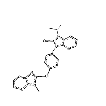 CC(C)n1c(=O)n(-c2ccc(Oc3nc4cccnc4n3C)cc2)c2ncccc21